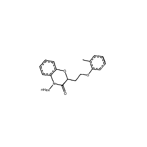 CCCCCCN1C(=O)C(CCOc2ccccc2C)Oc2ccccc21